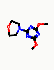 COc1nc(OC)nc(N2CCOCC2)n1